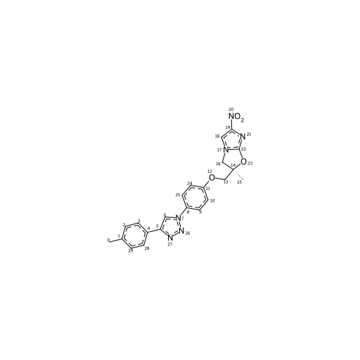 Cc1ccc(-c2cn(-c3ccc(OC[C@@]4(C)Cn5cc([N+](=O)[O-])nc5O4)cc3)nn2)cc1